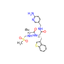 CCC(C)[C@@H](NCS(C)(=O)=O)C(=O)N[C@@H](Cc1csc2ccccc12)C(=O)NCc1ccc(N)nc1